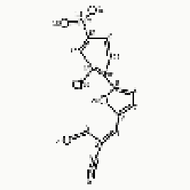 N#CC(C=O)=Cc1ccc(-c2ccc([N+](=O)[O-])cc2Cl)o1